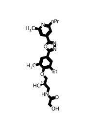 CCCc1cc(-c2nnc(-c3cc(C)c(OC[C@H](O)CNC(=O)CO)c(CC)c3)o2)cc(C)n1